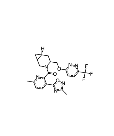 Cc1ccc(-c2nc(C)no2)c(C(=O)N2CC3C[C@@H]3C[C@H]2COc2ccc(C(F)(F)F)nn2)n1